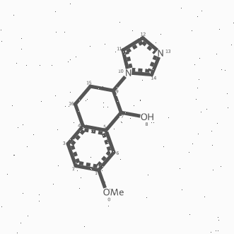 COc1ccc2c(c1)C(O)C(n1ccnc1)CC2